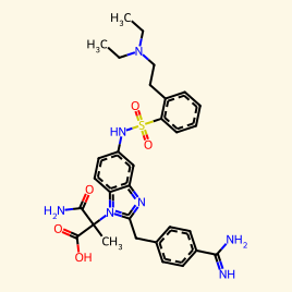 CCN(CC)CCc1ccccc1S(=O)(=O)Nc1ccc2c(c1)nc(Cc1ccc(C(=N)N)cc1)n2C(C)(C(N)=O)C(=O)O